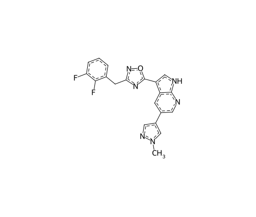 Cn1cc(-c2cnc3[nH]cc(-c4nc(Cc5cccc(F)c5F)no4)c3c2)cn1